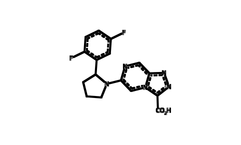 O=C(O)c1nnc2cnc(N3CCCC3c3cc(F)ccc3F)cn12